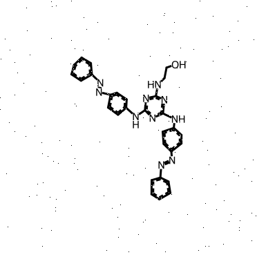 OCCNc1nc(Nc2ccc(N=Nc3ccccc3)cc2)nc(Nc2ccc(N=Nc3ccccc3)cc2)n1